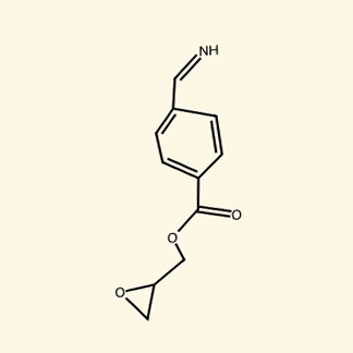 N=Cc1ccc(C(=O)OCC2CO2)cc1